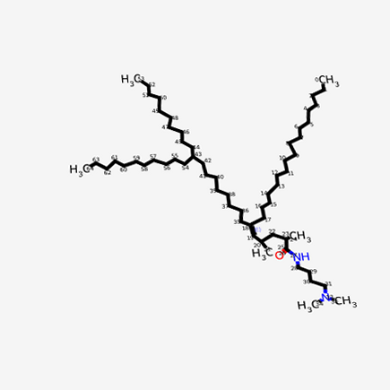 CCCCCCCCCCCCCCCCCC/C(=C\C(C)CC(C)C(=O)NCCCCN(C)C)CCCCCCCCC(CCCCCCCCCC)CCCCCCCCCCC